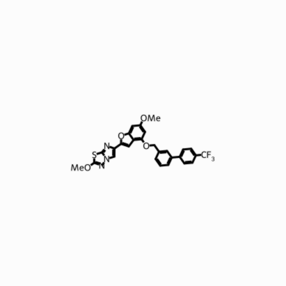 COc1cc(OCc2cccc(-c3ccc(C(F)(F)F)cc3)c2)c2cc(-c3cn4nc(OC)sc4n3)oc2c1